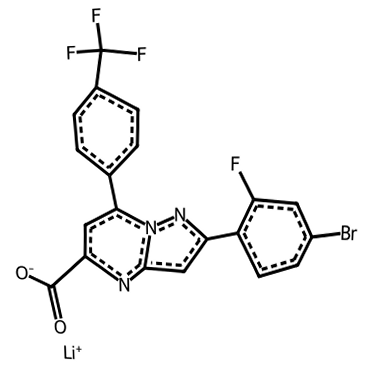 O=C([O-])c1cc(-c2ccc(C(F)(F)F)cc2)n2nc(-c3ccc(Br)cc3F)cc2n1.[Li+]